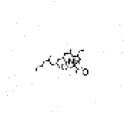 CCCCC(C)CC(C)CC(CC(C)CC(C)CC)C(=O)NC(C)(C)C(C)C=O